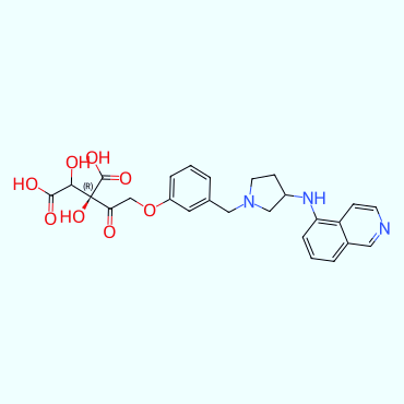 O=C(O)C(O)[C@](O)(C(=O)O)C(=O)COc1cccc(CN2CCC(Nc3cccc4cnccc34)C2)c1